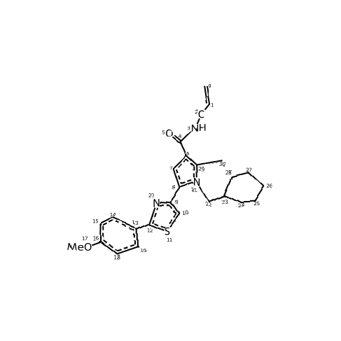 C=CCNC(=O)c1cc(-c2csc(-c3ccc(OC)cc3)n2)n(CC2CCCCC2)c1C